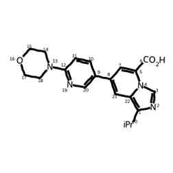 CC(C)c1ncn2c(C(=O)O)cc(-c3ccc(N4CCOCC4)nc3)cc12